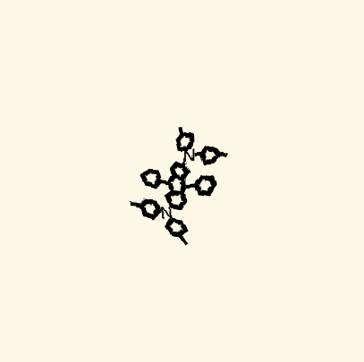 Cc1ccc(N(c2ccc(C)cc2)c2ccc3c(-c4ccccc4)c4cc(N(c5ccc(C)cc5)c5ccc(C)cc5)ccc4c(-c4ccccc4)c3c2)cc1